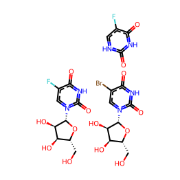 O=c1[nH]c(=O)n([C@@H]2O[C@H](CO)[C@@H](O)[C@H]2O)cc1Br.O=c1[nH]c(=O)n([C@@H]2O[C@H](CO)[C@@H](O)[C@H]2O)cc1F.O=c1[nH]cc(F)c(=O)[nH]1